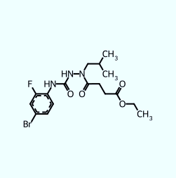 CCOC(=O)CCC(=O)N(CC(C)C)NC(=O)Nc1ccc(Br)cc1F